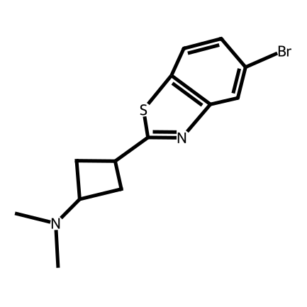 CN(C)C1CC(c2nc3cc(Br)ccc3s2)C1